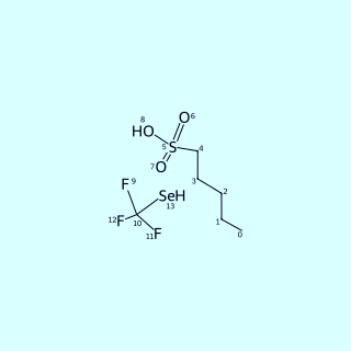 CCCCCS(=O)(=O)O.FC(F)(F)[SeH]